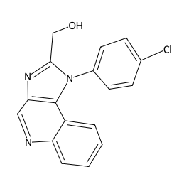 OCc1nc2cnc3ccccc3c2n1-c1ccc(Cl)cc1